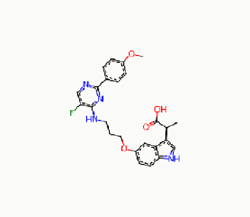 COc1ccc(-c2ncc(F)c(NCCCOc3ccc4[nH]cc(C(C)C(=O)O)c4c3)n2)cc1